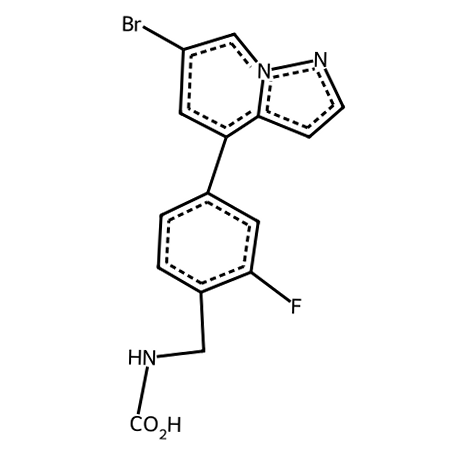 O=C(O)NCc1ccc(-c2cc(Br)cn3nccc23)cc1F